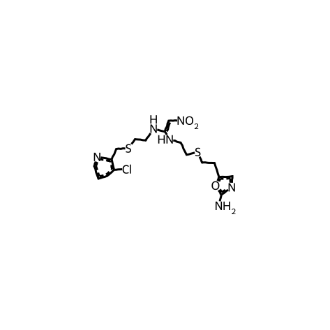 Nc1ncc(CCSCCN/C(=C\[N+](=O)[O-])NCCSCc2ncccc2Cl)o1